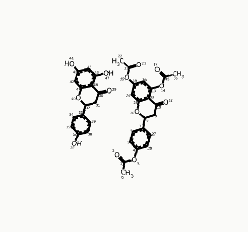 CC(=O)Oc1ccc(C2CC(=O)c3c(OC(C)=O)cc(OC(C)=O)cc3O2)cc1.O=C1CC(c2ccc(O)cc2)Oc2cc(O)cc(O)c21